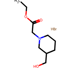 Br.CCOC(=O)CN1CCCC(CO)C1